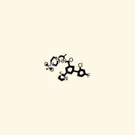 C[C@H](CN1CCN(S(C)(=O)=O)CC1)NC(=O)c1cc(-c2nccs2)cc(-c2ccc(F)cc2Cl)c1